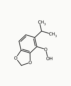 CC(C)c1ccc2c(c1OO)OCO2